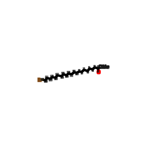 COC(=O)CCCCCCCCCCCCCCCCCCCCBr